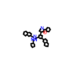 c1ccc(-c2nc(-c3cc(-c4ccc5ccccc5c4)cc(-c4ccnc5c4oc4ccccc45)c3)nc(-c3ccc4ccccc4c3)n2)cc1